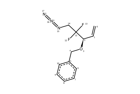 C=C[C@@H](OCc1ccccc1)C(F)(F)CN=[N+]=[N-]